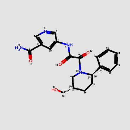 NC(=O)c1cncc(NC(=O)C(=O)N2C[C@@H](CO)CC[C@@H]2c2ccccc2)c1